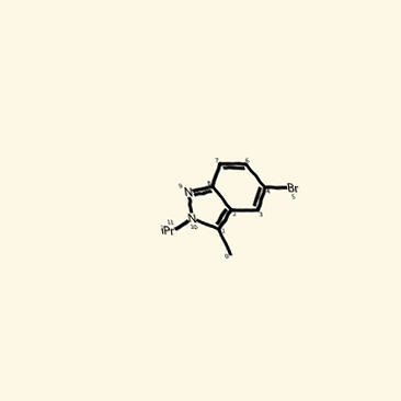 Cc1c2cc(Br)ccc2nn1C(C)C